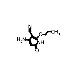 CCCOc1[nH]c(=O)cc(N)c1C#N